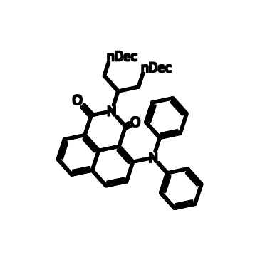 CCCCCCCCCCCC(CCCCCCCCCCC)N1C(=O)c2cccc3ccc(N(c4ccccc4)c4ccccc4)c(c23)C1=O